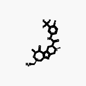 C[C@@H]1Cc2nn3c(c2CN1C(=O)Nc1ccc(F)c(C(F)(F)F)c1)C(=O)N(C)O[C@@H](CN)C3